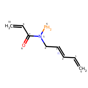 C=C/C=C/CN(P)C(=O)C=C